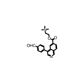 C[Si](C)(C)CCOC(=O)c1ccc2cncc(-c3ccc(C=O)cc3)c2c1